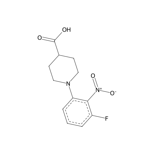 O=C(O)C1CCN(c2cccc(F)c2[N+](=O)[O-])CC1